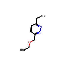 CC(C)(C)COCc1ccc(CC(C)(C)C)nn1